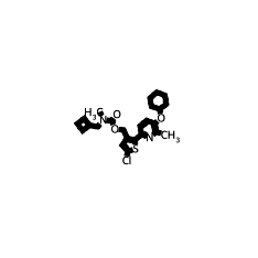 Cc1nc(-c2sc(Cl)cc2COC(=O)N(C)CC2CCC2)ccc1OC1CCCCC1